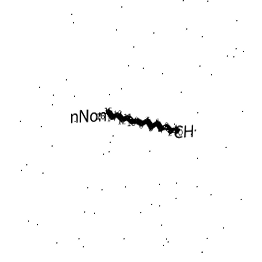 [CH]=C/C=C/C=C/C=C/C=C/C=C/C=C/C=C/CCCCCCCCC